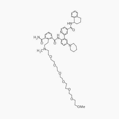 COCCOCCOCCOCCOCCOCCOCCN(C)CCc1c(C(N)=O)cccc1C(=O)Nc1ccc(N2CCCCC2)cc1-c1cc(C(=O)NC2CCCc3ccccc32)ccn1